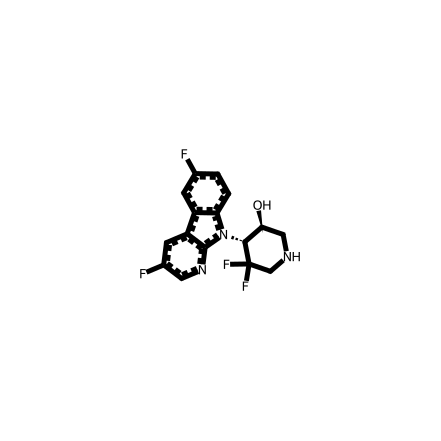 O[C@H]1CNCC(F)(F)[C@@H]1n1c2ccc(F)cc2c2cc(F)cnc21